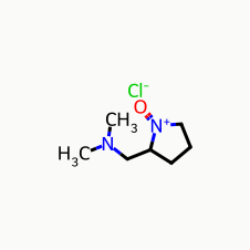 CN(C)CC1CCC[N+]1=O.[Cl-]